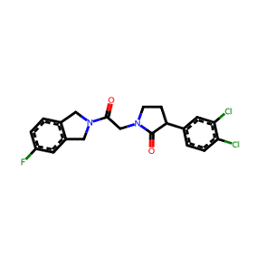 O=C(CN1CCC(c2ccc(Cl)c(Cl)c2)C1=O)N1Cc2ccc(F)cc2C1